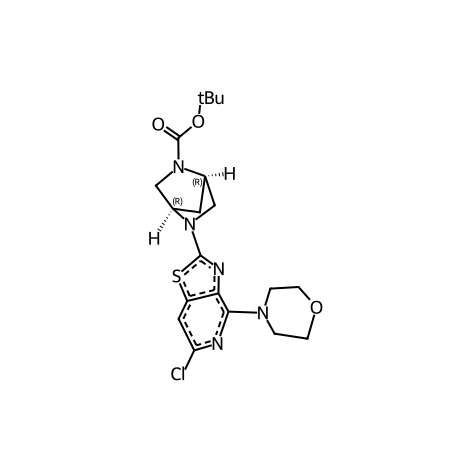 CC(C)(C)OC(=O)N1C[C@H]2C[C@@H]1CN2c1nc2c(N3CCOCC3)nc(Cl)cc2s1